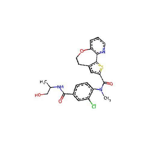 CC(CO)NC(=O)c1ccc(N(C)C(=O)c2cc3c(s2)-c2ncccc2OCC3)c(Cl)c1